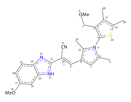 COCc1c(-n2c(C)cc(/C=C(\C#N)c3nc4ccc(OC)cc4[nH]3)c2C)sc(C)c1C